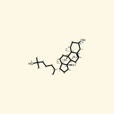 CC(CCCC(C)(C)O)[C@H]1CC[C@H]2[C@@H]3CC=C4CC(O)CC[C@]4(C)[C@H]3CC[C@]12C